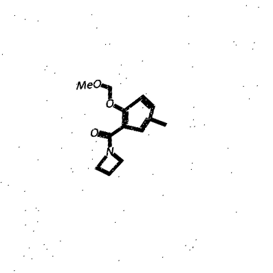 COCOc1ccc(C)cc1C(=O)N1CCC1